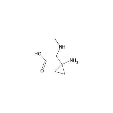 CNCC1(N)CC1.O=CO